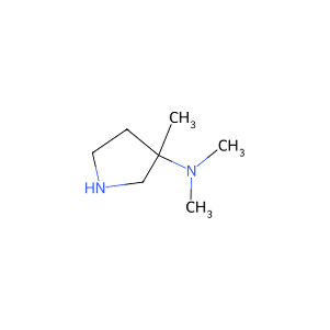 CN(C)C1(C)CCNC1